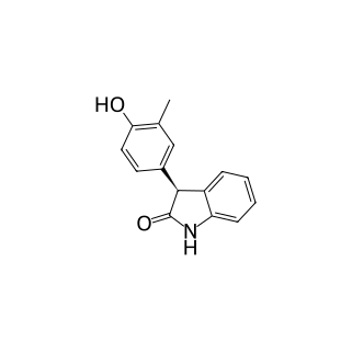 Cc1cc([C@@H]2C(=O)Nc3ccccc32)ccc1O